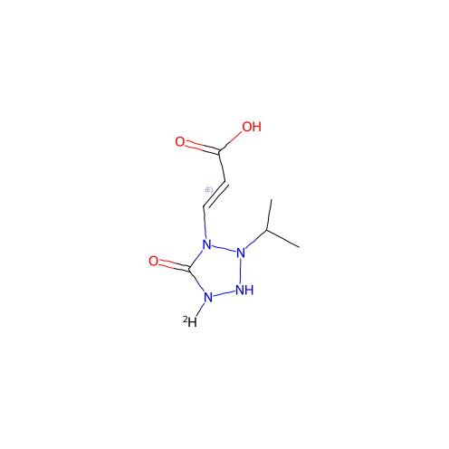 [2H]N1NN(C(C)C)N(/C=C/C(=O)O)C1=O